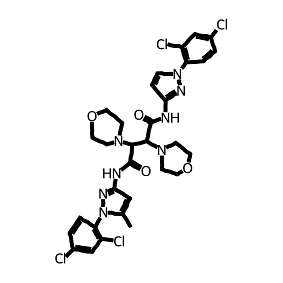 Cc1cc(NC(=O)C(C(C(=O)Nc2ccn(-c3ccc(Cl)cc3Cl)n2)N2CCOCC2)N2CCOCC2)nn1-c1ccc(Cl)cc1Cl